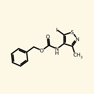 Cc1nsc(I)c1NC(=O)OCc1ccccc1